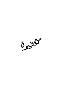 CN(Cc1ccc(-c2nc3cc(Br)ccc3[nH]2)cc1)C1CCOCC1